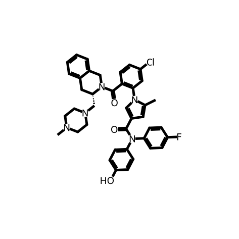 Cc1cc(C(=O)N(c2ccc(O)cc2)c2ccc(F)cc2)cn1-c1cc(Cl)ccc1C(=O)N1Cc2ccccc2C[C@H]1CN1CCN(C)CC1